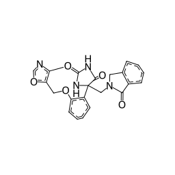 Cc1ncoc1COc1ccccc1C1(CN2Cc3ccccc3C2=O)NC(=O)NC1=O